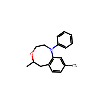 CC1Cc2ccc(C#N)cc2N(c2ccccc2)CCO1